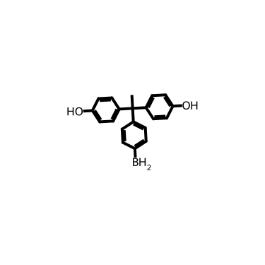 Bc1ccc(C(C)(c2ccc(O)cc2)c2ccc(O)cc2)cc1